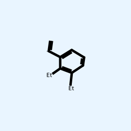 C=[C]c1cccc(CC)c1CC